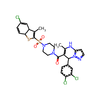 CC1=C(C(=O)N2CCN(S(=O)(=O)C3=C(C)C4C=C(Cl)C=CC4S3)CC2)C(c2ccc(Cl)c(Cl)c2)n2nccc2N1